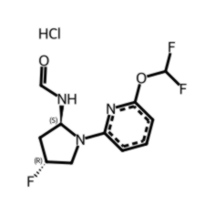 Cl.O=CN[C@@H]1C[C@@H](F)CN1c1cccc(OC(F)F)n1